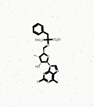 CCOC(=O)C(Cc1ccccc1)(OC[C@H]1O[C@@H](n2cnc3c(C)nc(Cl)nc32)[C@H](O)[C@@H]1C)C(=O)OCC